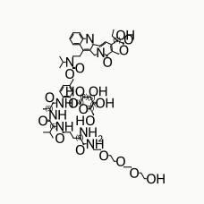 CC[C@@]1(O)C(=O)OCc2c1cc1n(c2=O)Cc2c-1nc1ccccc1c2CCN(C(=O)OCc1ccc(NC(=O)[C@H](C)NC(=O)[C@@H](NC(=O)CC[C@H](N)C(=O)NCCOCCOCCOCCO)C(C)C)c(O[C@@H]2O[C@H](CO)[C@H](O)[C@H](O)[C@H]2O)c1)C(C)C